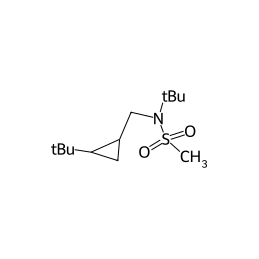 CC(C)(C)C1CC1CN(C(C)(C)C)S(C)(=O)=O